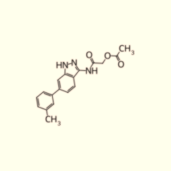 CC(=O)OCC(=O)Nc1n[nH]c2cc(-c3cccc(C)c3)ccc12